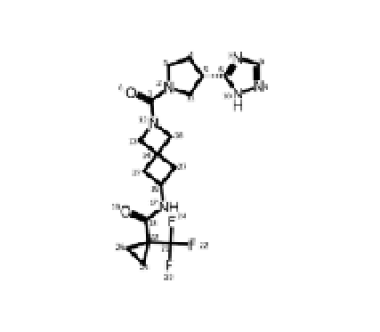 O=C(N1CC[C@H](c2ncn[nH]2)C1)N1CC2(CC(NC(=O)C3(C(F)(F)F)CC3)C2)C1